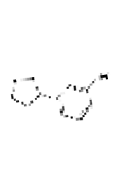 CC(C)c1[c]ccc(C2CCCC2)c1